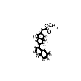 COC(=O)C[C@@H]1C[C@H]2CC(c3ccnc4ccc(F)cc34)C[C@H]2C1